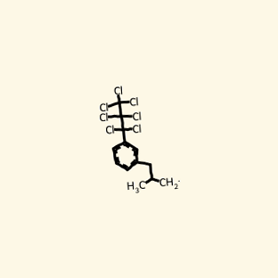 [CH2]C(C)Cc1cccc(C(Cl)(Cl)C(Cl)(Cl)C(Cl)(Cl)Cl)c1